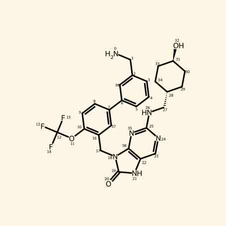 NCc1cccc(-c2ccc(OC(F)(F)F)c(Cn3c(=O)[nH]c4cnc(NC[C@H]5CC[C@H](O)CC5)nc43)c2)c1